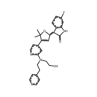 CC1(C)O/C(=C2/C(=O)Nc3cc(F)ccc32)C=C1c1ccnc(N(CCO)CCc2ccncc2)c1